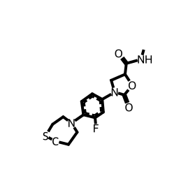 CNC(=O)C1CN(c2ccc(N3CCCSCC3)c(F)c2)C(=O)O1